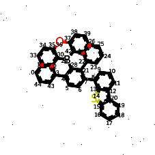 c1ccc(-c2ccc(-c3cccc4c3sc3ccccc34)c(-c3ccccc3)c2B2c3ccccc3Oc3ccccc32)cc1